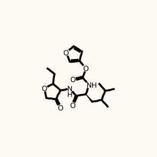 CCC1OCC(=O)C1NC(=O)[C@H](CC(C)C(C)C)NC(=O)Oc1ccoc1